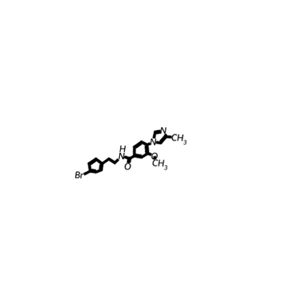 COc1cc(C(=O)NCCc2ccc(Br)cc2)ccc1-n1cnc(C)c1